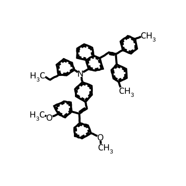 CCc1cccc(N(c2ccc(C=C(c3cccc(OC)c3)c3cccc(OC)c3)cc2)c2ccc(C=C(c3ccc(C)cc3)c3ccc(C)cc3)c3ccccc23)c1